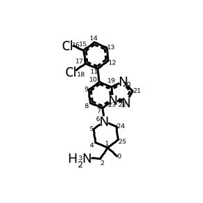 CC1(CN)CCN(c2ccc(-c3cccc(Cl)c3Cl)c3ncnn23)CC1